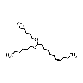 CCC/C=C\CCCCCC(OCCCCCC)OCCCCCC